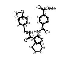 COC(=O)c1ccc(C(=O)Nc2sc3c(c2C(=O)NCc2ccc4c(c2)OCO4)CCCC3)cc1